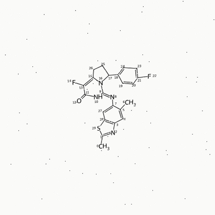 Cc1nc2cc(C)c(/N=c3\[nH]c(=O)c(F)c4n3C(c3ccc(F)cc3)CC4)cc2s1